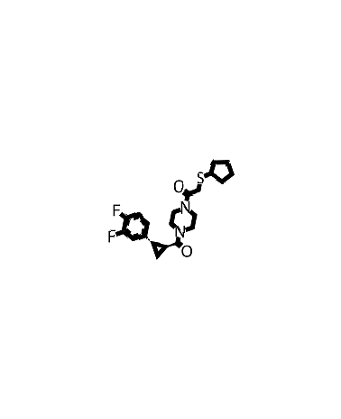 O=C(CSC1CCCC1)N1CCN(C(=O)[C@H]2C[C@@H]2c2ccc(F)c(F)c2)CC1